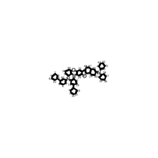 c1ccc(-c2cccc(N3c4cc(-c5ccccc5)ccc4B4c5cc6oc7c8ccc(N(c9ccccc9)c9ccccc9)cc8ccc7c6cc5Oc5cccc3c54)c2)cc1